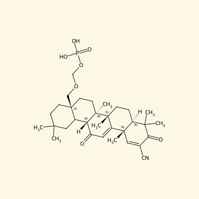 CC1(C)CC[C@]2(COCOP(=O)(O)O)CC[C@]3(C)[C@H](C(=O)C=C4[C@@]5(C)C=C(C#N)C(=O)C(C)(C)[C@@H]5CC[C@]43C)C2C1